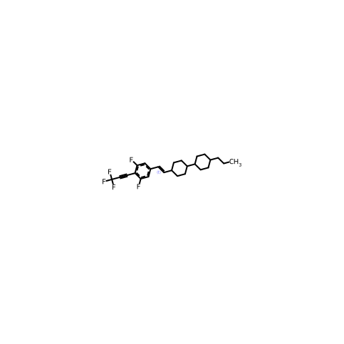 CCCC1CCC(C2CCC(/C=C/c3cc(F)c(C#CC(F)(F)F)c(F)c3)CC2)CC1